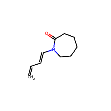 C=CC=CN1CCCCCC1=O